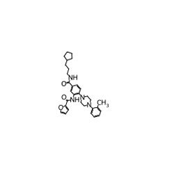 Cc1ccccc1N1CCN(c2ccc(C(=O)NCCCC3CCCC3)cc2NC(=O)c2ccco2)CC1